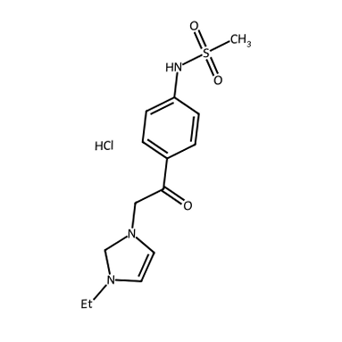 CCN1C=CN(CC(=O)c2ccc(NS(C)(=O)=O)cc2)C1.Cl